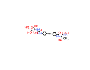 C[C@@H](O)[C@H](NC(=O)c1ccc(C#Cc2ccc(NC(=O)CN[C@H]3C(O)O[C@H](CO)C(O)[C@@H]3O)cc2)cc1)C(=O)NO